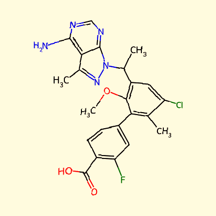 COc1c(C(C)n2nc(C)c3c(N)ncnc32)cc(Cl)c(C)c1-c1ccc(C(=O)O)c(F)c1